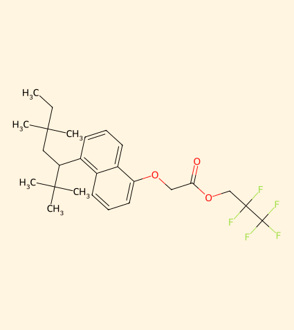 CCC(C)(C)CC(c1cccc2c(OCC(=O)OCC(F)(F)C(F)(F)F)cccc12)C(C)(C)C